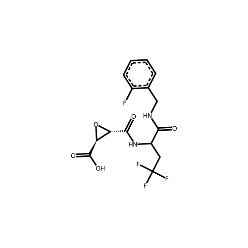 O=C(NCc1ccccc1F)C(CC(F)(F)F)NC(=O)[C@H]1O[C@@H]1C(=O)O